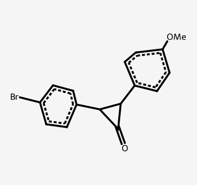 COc1ccc(C2C(=O)C2c2ccc(Br)cc2)cc1